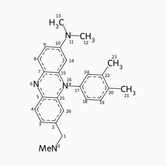 CNCc1ccc2nc3ccc(N(C)C)cc3[n+](-c3ccc(C)c(C)c3)c2c1